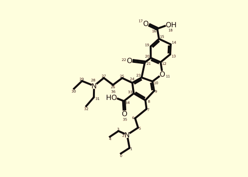 CCN(CC)CCCc1cc2oc3ccc(C(=O)O)cc3c(=O)c2c(CCCN(CC)CC)c1C(=O)O